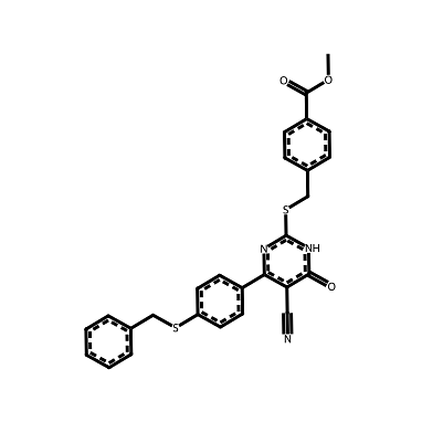 COC(=O)c1ccc(CSc2nc(-c3ccc(SCc4ccccc4)cc3)c(C#N)c(=O)[nH]2)cc1